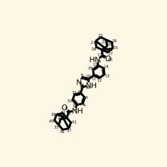 O=C(Nc1ccc(-c2ncc(-c3cccc(NC(=O)C45CC6CC(CC(C6)C4)C5)c3)[nH]2)cc1)C12CC3CC(CC(C3)C1)C2